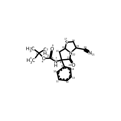 CC(C)(C)OC(=O)NC1(c2ccccc2)CC2SCC(C#N)N2C1=O